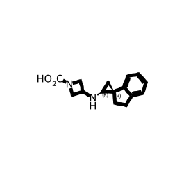 O=C(O)N1CC(N[C@@H]2C[C@@]23CCc2ccccc23)C1